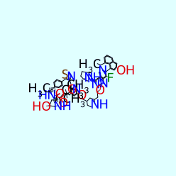 CCc1cccc2cc(O)cc(-c3ncc4c(N5CC6CCC(C5)N6)nc(OCCC5CC(COc6cc(C(C)(C)CC(=O)[C@@]7(C(=O)N[C@@H](C)c8ccc(-c9scnc9C)cc8)CC(O)CN7)on6)CCN5)nc4c3F)c12